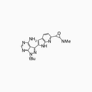 CNC1OC1c1ccc2cc(-c3nn(C(C)(C)C)c4ncnc(N)c34)[nH]c2n1